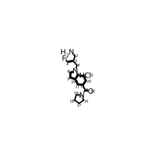 Cl.NCC(=CF)Cn1ccc2cc(C(=O)N3CCCC3)ccc21